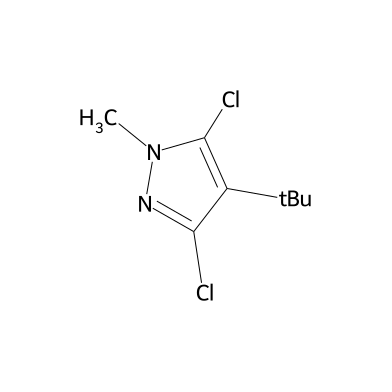 Cn1nc(Cl)c(C(C)(C)C)c1Cl